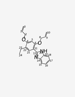 C=CCOc1cc(OCC=C)c(-c2nc3ccccc3[nH]2)cc1CC